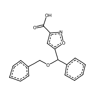 O=C(O)c1cc(C(OCc2ccccc2)c2ccccc2)on1